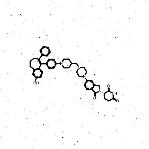 O=C1CC[C@H](N2Cc3cc(N4CCN(CC5CCN(c6ccc(C7=C(c8ccccc8)CCCc8cc(O)ccc87)cc6)CC5)CC4)ccc3C2=O)C(=O)N1